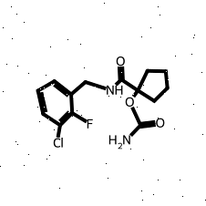 NC(=O)OC1(C(=O)NCc2cccc(Cl)c2F)CCCC1